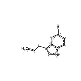 C=CCc1c[nH]c2ccc(F)cc12